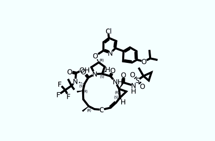 CC(C)Oc1ccc(-c2cc(Cl)cc(O[C@@H]3C[C@H]4C(=O)N[C@]5(C(=O)NS(=O)(=O)C6(C)CC6)C[C@H]5C=CCC[C@@H](C)C[C@@H](C)[C@H](N(C(=O)O)C(C)(C)C(F)(F)F)C(=O)N4C3)n2)cc1